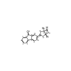 O=C1c2ccccc2-c2ccc(N3C[C@H]4CN[C@@H]4C3)cc21